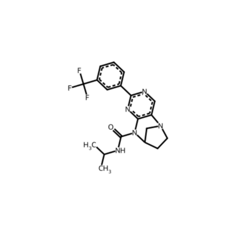 CC(C)NC(=O)N1c2nc(-c3cccc(C(F)(F)F)c3)ncc2N2CCC1C2